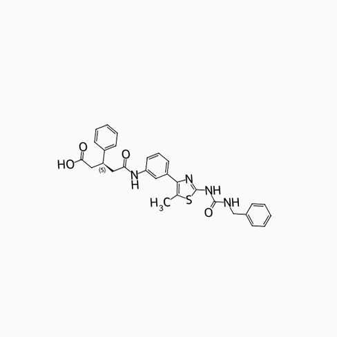 Cc1sc(NC(=O)NCc2ccccc2)nc1-c1cccc(NC(=O)C[C@@H](CC(=O)O)c2ccccc2)c1